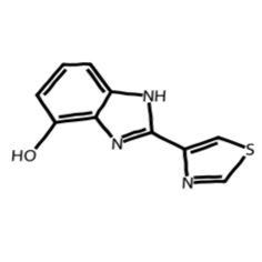 Oc1cccc2[nH]c(-c3cscn3)nc12